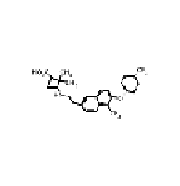 CC1(C)C(NCCc2ccc3c(C(F)(F)F)c(O[C@H]4CC[C@@H](C(F)(F)F)CC4)ccc3c2)CC1C(=O)O